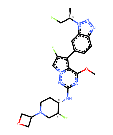 COc1nc(N[C@H]2CCN(C3COC3)C[C@@H]2F)nn2cc(F)c(-c3ccc4nnn([C@H](C)CF)c4c3)c12